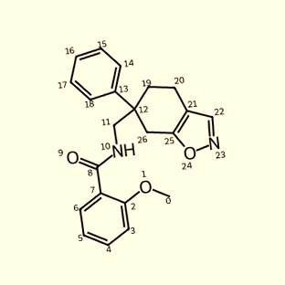 COc1ccccc1C(=O)NCC1(c2ccccc2)CCc2cnoc2C1